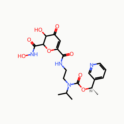 CC(C)N(CCNC(=O)C1=CC(=O)C(O)C(C(=O)NO)O1)C(=O)O[C@@H](C)c1cccnc1